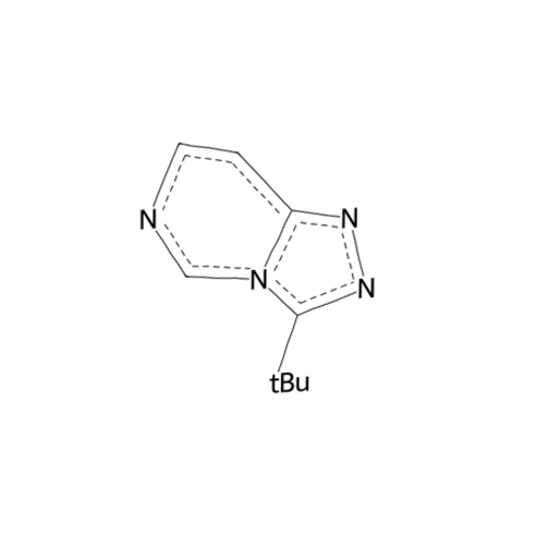 CC(C)(C)c1nnc2ccncn12